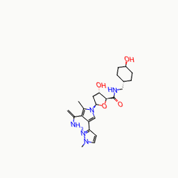 C=C(N)c1c(-c2ccn(C)n2)cn([C@H]2C[C@H](O)[C@@H](C(=O)NC[C@H]3CC[C@H](O)CC3)O2)c1C